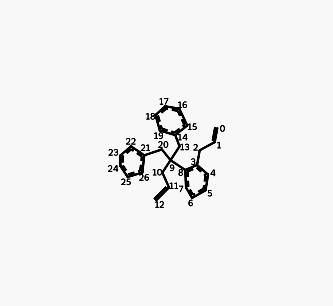 C=CCc1ccccc1C(CC=C)(Cc1ccccc1)Cc1ccccc1